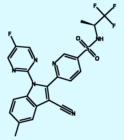 Cc1ccc2c(c1)c(C#N)c(-c1ccc(S(=O)(=O)N[C@@H](C)C(F)(F)F)cn1)n2-c1ncc(F)cn1